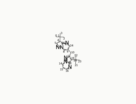 CC(C)(C)c1cnn2cc(Cc3nn4cccnc4c3C(C)(C)C)cnc12